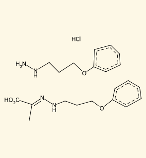 CC(=NNCCCOc1ccccc1)C(=O)O.Cl.NNCCCOc1ccccc1